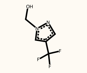 OCn1cc(C(F)(F)F)cn1